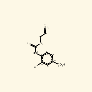 C=CCOC(=O)Nc1ccc(C(=O)O)cc1F